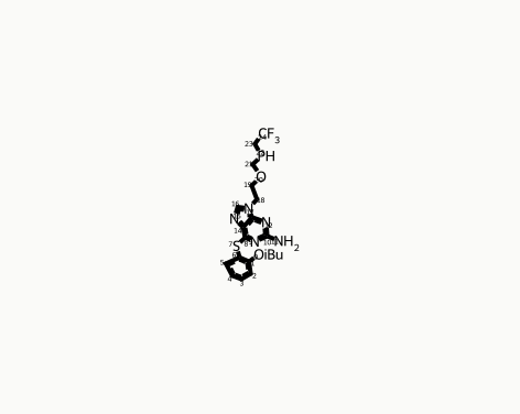 CC(C)COc1ccccc1Sc1nc(N)nc2c1ncn2CCOCPCC(F)(F)F